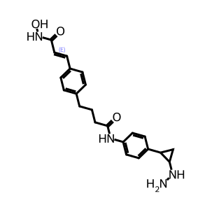 NNC1CC1c1ccc(NC(=O)CCCc2ccc(/C=C/C(=O)NO)cc2)cc1